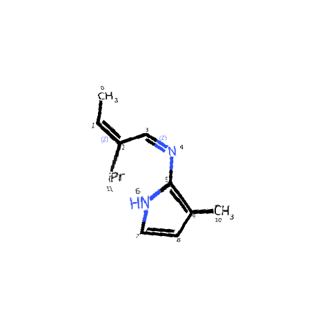 C/C=C(\C=N/c1[nH]ccc1C)C(C)C